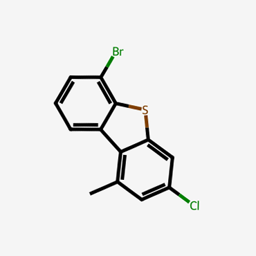 Cc1cc(Cl)cc2sc3c(Br)cccc3c12